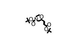 CC(C)(C)OC(=O)/C=C/C1CN(C(=O)OC(C)(C)C)CCO1